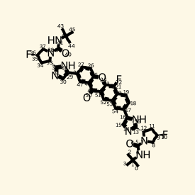 CC(C)(C)NC(=O)N1C[C@H](F)C[C@H]1c1ncc(-c2ccc3c(F)c4oc5ccc(-c6cnc([C@@H]7C[C@@H](F)CN7C(=O)NC(C)(C)C)[nH]6)cc5c(=O)c4cc3c2)[nH]1